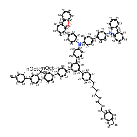 CCCCCCCCC1(CCCCCCCC)c2cc(-c3ccc(C)cc3)ccc2-c2ccc(-c3ccc(-c4cc(-c5ccc(CCCCCCCCc6ccc7c(c6)CC7)cc5)cc(-c5ccc(N(c6ccc(-c7ccc(-n8c9ccccc9c9ccccc98)cc7)cc6)c6ccc(-c7cccc8c7oc7ccccc78)cc6)cc5)c4)cc3)cc21